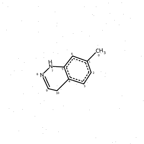 Cc1ccc2c(c1)NN=CC2